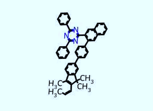 C/C=C\C1=C(C)c2ccc(-c3ccc(-c4cc5ccccc5cc4-c4nc(-c5ccccc5)nc(-c5ccccc5)n4)cc3)cc2C1(C)C